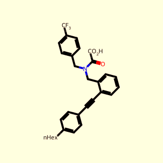 CCCCCCc1ccc(C#Cc2ccccc2CN(Cc2ccc(C(F)(F)F)cc2)C(=O)C(=O)O)cc1